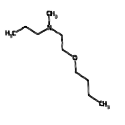 CCCCOCCN(C)CCC